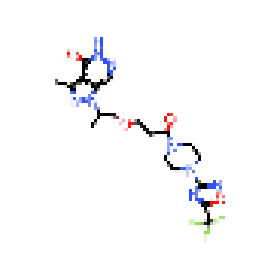 Cc1nn(C(C)COCCC(=O)N2CCN(c3noc(C(F)(F)F)n3)CC2)c2cn[nH]c(=O)c12